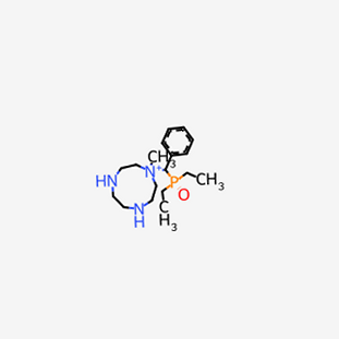 CCP(=O)(CC)C(c1ccccc1)[N+]1(C)CCNCCNCC1